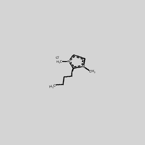 CCCCc1n(C)cc[n+]1C.[Cl-]